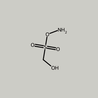 NOS(=O)(=O)CO